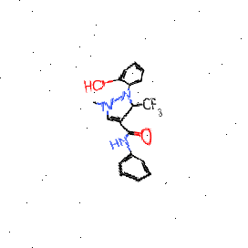 CN1C=C(C(=O)Nc2ccccc2)C(C(F)(F)F)N1c1ccccc1O